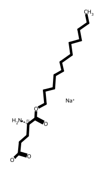 CCCCCCCCCCCCOC(=O)[C@@H](N)CCC(=O)[O-].[Na+]